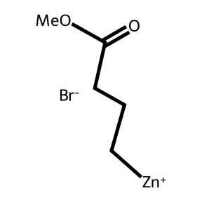 COC(=O)CC[CH2][Zn+].[Br-]